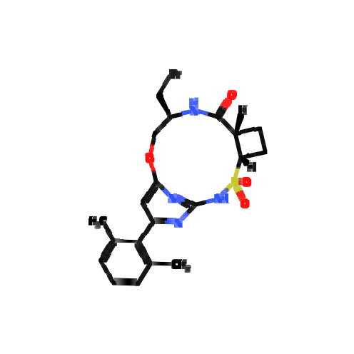 Cc1cccc(C)c1-c1cc2nc(n1)NS(=O)(=O)[C@H]1CC[C@H]1C(=O)N[C@H](CC(C)C)CO2